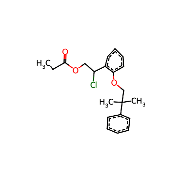 CCC(=O)OCC(Cl)c1ccccc1OCC(C)(C)c1ccccc1